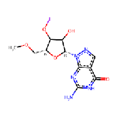 COC[C@H]1O[C@@H](n2ncc3c(=O)[nH]c(N)nc32)C(O)C1OI